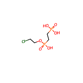 O=P(O)(O)CCP(=O)(O)OCCCl